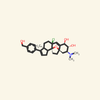 CN(C)[C@H]1C[C@@]23CC[C@]4(O2)C2CC=C(c5ccc(CO)cc5)[C@@]2(C)CCC4(Cl)C=C3[C@@H](O)[C@@H]1O